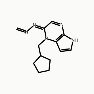 C=N/N=c1/cnc2[nH]ccc2n1CC1CCCC1